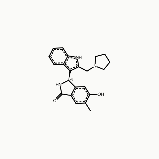 Cc1cc2c(cc1O)[C@H](c1c(CN3CCCC3)[nH]c3ccccc13)NC2=O